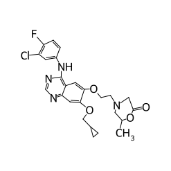 CC1CN(CCOc2cc3c(Nc4ccc(F)c(Cl)c4)ncnc3cc2OCC2CC2)CC(=O)O1